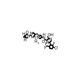 Cc1nc(N2C[C@H]3C[C@H]3C2=O)ncc1Cn1cc(NC(=O)c2nc(-c3c(C(F)F)ccc(Cl)c3F)cnc2CO)cn1